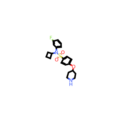 O=S(=O)(c1ccc(OC2CCNCC2)cc1)N(c1cccc(F)c1)C1CCC1